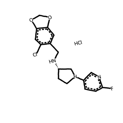 Cl.Fc1ccc(N2CC[C@H](NCc3cc4c(cc3Cl)OCO4)C2)cn1